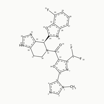 Cn1cncc1-c1nc(C(F)F)c(C(=O)N2CCc3[nH]cnc3[C@H]2c2nc3cccc(F)c3o2)o1